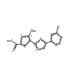 COC(=O)c1cc(-c2nc(-c3cccc(Br)c3)cs2)c(SC)s1